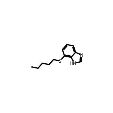 [CH2]CCCCSc1cccc2nc[nH]c12